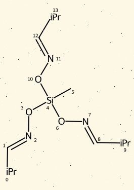 CC(C)C=NO[Si](C)(ON=CC(C)C)ON=CC(C)C